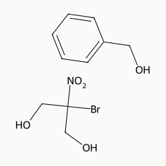 O=[N+]([O-])C(Br)(CO)CO.OCc1ccccc1